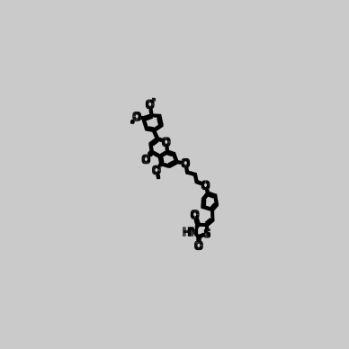 COc1ccc(-c2cc(=O)c3c(OC)cc(OCCCOc4ccc(C=C5SC(=O)NC5=O)cc4)cc3o2)cc1OC